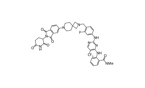 CNC(=O)c1ccccc1Nc1nc(Nc2ccc(CN3CC4(CCN(c5ccc6c(c5)C(=O)N(C5CCC(=O)NC5=O)C6=O)CC4)C3)c(F)c2)ncc1C(F)(F)F